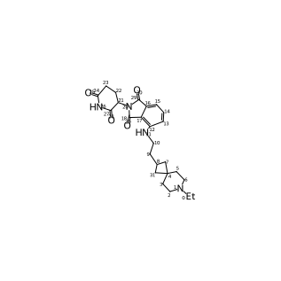 CCN1CCC2(CC1)CC(CCNc1cccc3c1C(=O)N(C1CCC(=O)NC1=O)C3=O)C2